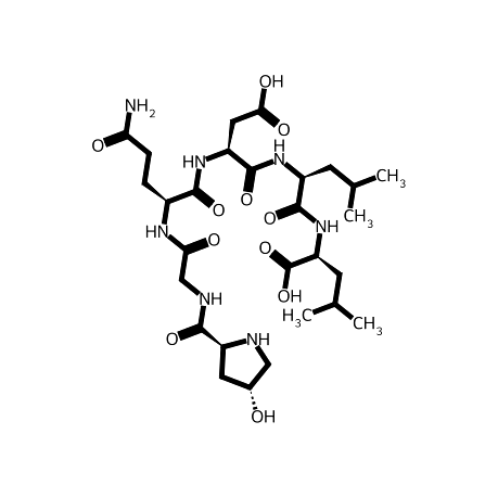 CC(C)C[C@H](NC(=O)[C@H](CC(C)C)NC(=O)[C@H](CC(=O)O)NC(=O)[C@H](CCC(N)=O)NC(=O)CNC(=O)[C@@H]1C[C@@H](O)CN1)C(=O)O